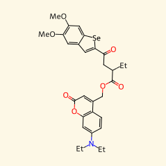 CCC(CC(=O)c1cc2cc(OC)c(OC)cc2[se]1)C(=O)OCc1cc(=O)oc2cc(N(CC)CC)ccc12